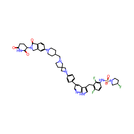 O=C1CCC(N2Cc3cc(N4CCC(CN5CCC6(C5)CN(c5ccc(-c7cnc8[nH]cc(Cc9c(F)ccc(NS(=O)(=O)N%10CC[C@@H](F)C%10)c9F)c8c7)cc5)C6)CC4)ccc3C2=O)C(=O)N1